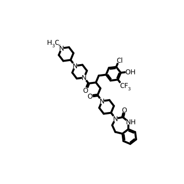 CN1CCC(N2CCN(C(=O)C(CC(=O)N3CCC(N4CCc5ccccc5NC4=O)CC3)Cc3cc(Cl)c(O)c(C(F)(F)F)c3)CC2)CC1